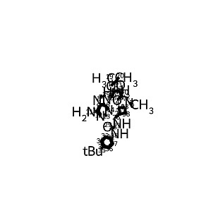 CN(C[C@H]1O[C@@H](n2cnc3c(N)ncnc32)[C@@H]2OC(C)(C)O[C@@H]21)C1CC(CNC(=O)Nc2ccc(C(C)(C)C)cc2)C1